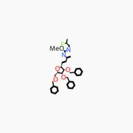 C=C(/C=C/[C@@H]1O[C@H](COCc2ccccc2)[C@@H](OCc2ccccc2)[C@H]1OCc1ccccc1)/N=C(\N=C/C(C)F)OC